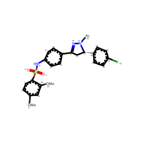 COc1ccc(S(=O)(=O)Nc2ccc(C3=NN(C(C)=O)[C@H](c4ccc(F)cc4)C3)cc2)c(OC)c1